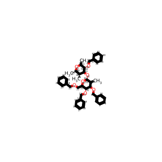 CC1C(OCc2ccccc2)[C@H](OCc2ccccc2)C(COCc2ccccc2)O[C@@H]1OC1[C@@H](OCc2ccccc2)C(C)O[C@@H](C)[C@H]1C